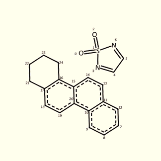 O=S1(=O)N=CC=N1.c1ccc2c(c1)ccc1c3c(ccc12)CCCC3